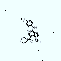 Cn1ccc2c(Nc3ccc(C(F)(F)F)cc3Cl)ncc(C(=O)N3CCOCC3)c21